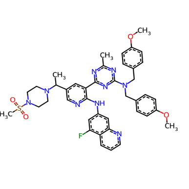 COc1ccc(CN(Cc2ccc(OC)cc2)c2nc(C)nc(-c3cc(C(C)N4CCN(S(C)(=O)=O)CC4)cnc3Nc3cc(F)c4cccnc4c3)n2)cc1